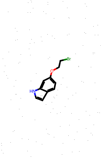 BrCCOc1ccc2cc[nH]c2c1